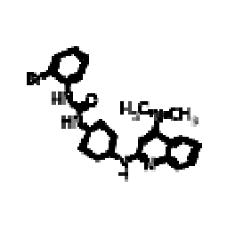 CN(C)c1cc(NC2CCC(NC(=O)Nc3ccccc3Br)CC2)nc2ccccc12